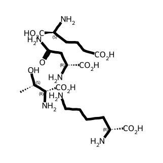 C[C@H](O)[C@@H](N)C(=O)O.NC(=O)C[C@@H](N)C(=O)O.NCCCC[C@@H](N)C(=O)O.N[C@@H](CCCC(=O)O)C(=O)O